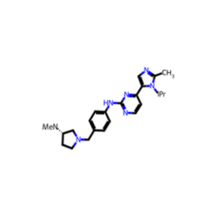 CN[C@H]1CCN(Cc2ccc(Nc3nccc(-c4cnc(C)n4C(C)C)n3)cc2)C1